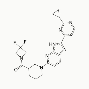 O=C(C1CCCN(c2ccc3nc(-c4ccnc(C5CC5)n4)[nH]c3n2)C1)N1CC(F)(F)C1